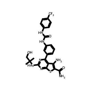 CC(C)(CO)[AsH]c1nc(-c2cccc(NC(=O)Nc3ccc(C(F)(F)F)cc3)c2)c2c(N)c(C(N)=O)sc2n1